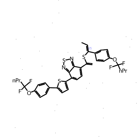 C=C(S/C(=C\C)c1ccc(OC(F)(F)CCC)cc1)c1ccc(-c2ccc(-c3ccc(OC(F)(F)CCC)cc3)s2)c2nsnc12